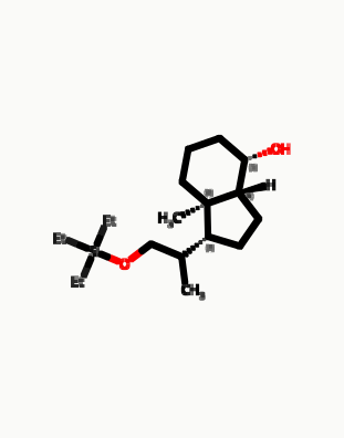 CC[Si](CC)(CC)OCC(C)[C@H]1CC[C@H]2[C@@H](O)CCC[C@]12C